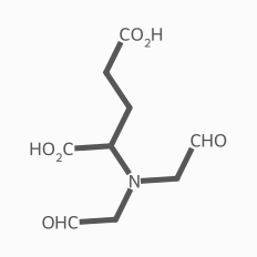 O=CCN(CC=O)C(CCC(=O)O)C(=O)O